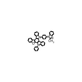 Cc1nc2ccccc2n1-c1ccc(-n2c3ccccc3c3c4c5ccccc5oc4c4c(c5ccccc5n4-c4ccccc4)c32)cc1